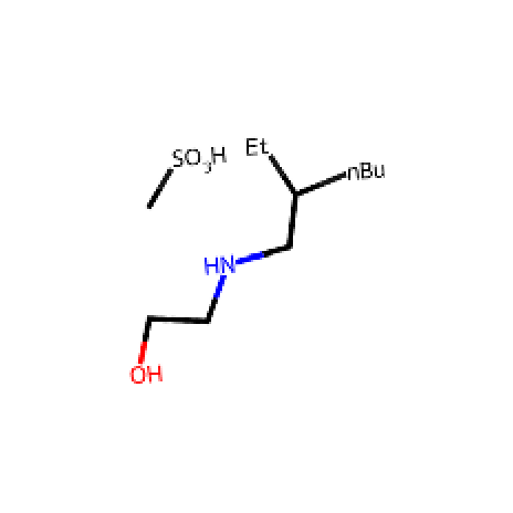 CCCCC(CC)CNCCO.CS(=O)(=O)O